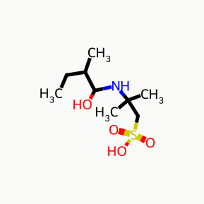 CCC(C)C(O)NC(C)(C)CS(=O)(=O)O